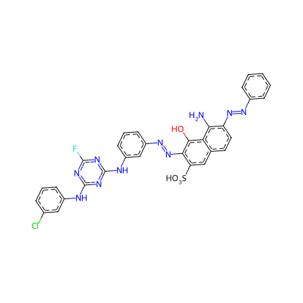 Nc1c(/N=N/c2ccccc2)ccc2cc(S(=O)(=O)O)c(/N=N/c3cccc(Nc4nc(F)nc(Nc5cccc(Cl)c5)n4)c3)c(O)c12